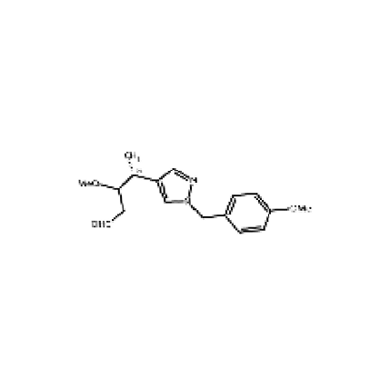 COc1ccc(Cn2cc([C@@H](C)C(CC=O)OC)cn2)cc1